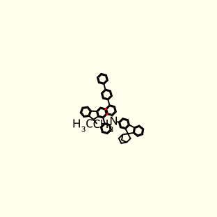 CC1(C)c2ccccc2-c2cccc(-c3ccccc3N(c3ccc(-c4ccc(-c5ccccc5)cc4)cc3)c3ccc4c(c3)C3(CC5CCC3C5)c3ccccc3-4)c21